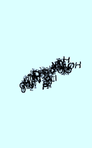 COC(=O)N[C@H](C(=O)N1CCC[C@H]1c1nc2cc([C@H]3CC[C@H](c4ccc5[nH]c([C@@H]6CCCN6C(=O)[C@@H](NC(=O)O)C(C)C)nc5c4)N3c3ccc(OC(F)(F)F)c(Cl)c3)ccc2[nH]1)C(C)C